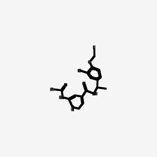 CC(C)C(=O)NC1=CC(C(=O)NC(C)c2ccc(OCF)c(Cl)c2)=CCN1